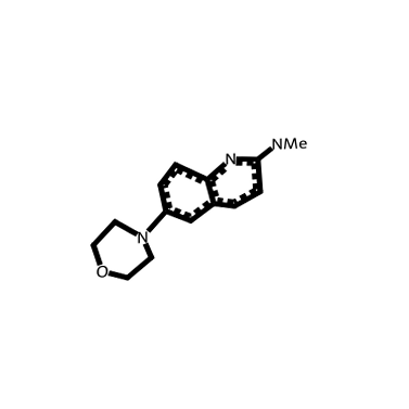 CNc1ccc2cc(N3CCOCC3)ccc2n1